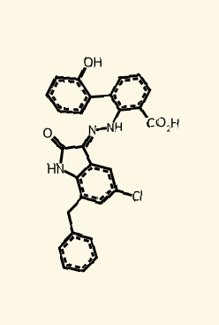 O=C1Nc2c(Cc3ccccc3)cc(Cl)cc2C1=NNc1c(C(=O)O)cccc1-c1ccccc1O